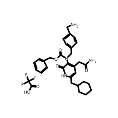 NCc1ccc(CN(C(=O)OCc2ccccc2)c2c(CC(N)=O)cc(CC3CCCCC3)[nH]c2=O)cc1.O=C(O)C(F)(F)F